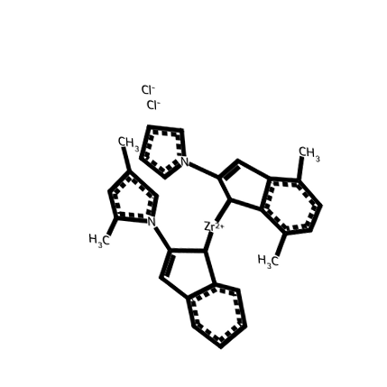 Cc1cc(C)n(C2=Cc3ccccc3[CH]2[Zr+2][CH]2C(n3cccc3)=Cc3c(C)ccc(C)c32)c1.[Cl-].[Cl-]